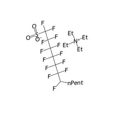 CCCCCC(F)C(F)(F)C(F)(F)C(F)(F)C(F)(F)C(F)(F)C(F)(F)S(=O)(=O)[O-].CC[N+](CC)(CC)CC